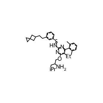 CCc1c(OCC(N)CC(C)C)nc(NSc2cccc(CCC3CC4(CC4)C3)c2)nc1-c1c(C)cccc1C